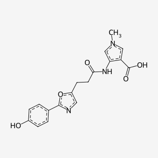 Cn1cc(NC(=O)CCc2cnc(-c3ccc(O)cc3)o2)c(C(=O)O)c1